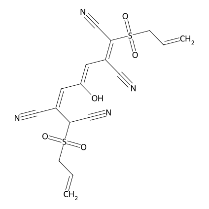 C=CCS(=O)(=O)C(C#N)=C(C#N)C=C(O)C=C(C#N)C(C#N)S(=O)(=O)CC=C